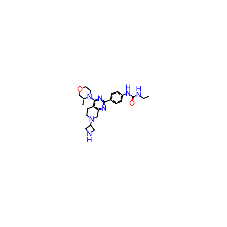 CCNC(=O)Nc1ccc(-c2nc3c(c(N4CCOC[C@@H]4C)n2)CCN(C2CNC2)C3)cc1